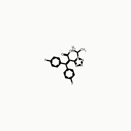 CC(C)n1nnnc1C(C(=O)O)=C(c1ccc(F)cc1)c1ccc(F)cc1